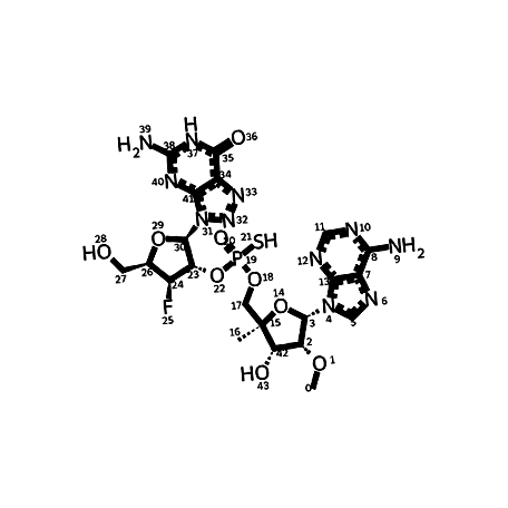 CO[C@H]1[C@@H](n2cnc3c(N)ncnc32)O[C@](C)(COP(=O)(S)O[C@@H]2[C@@H](F)[C@@H](CO)O[C@H]2n2nnc3c(=O)[nH]c(N)nc32)[C@H]1O